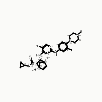 Cc1cc(Nc2ncc(F)c(N[C@H]3[C@@H](C(=O)NC4CC4)[C@@H]4C=C[C@H]3C4)n2)ccc1N1CCN(C)CC1